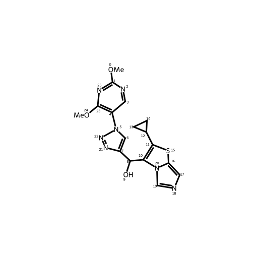 COc1ncc(-n2cc(C(O)c3c(C4CC4)sc4cncn34)nn2)c(OC)n1